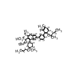 C=CCOC1(C)CCN(c2c(C(OC(C)(C)C)C(=O)O)c(C)nc3cc(-c4cccc(-c5c(OC(C)CC=C)ccc(C)c5F)c4)nn23)CC1